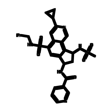 CC(C)CNS(=O)(=O)c1cc2c(c3cnc(C4CC4)cc13)C(NS(C)(=O)=O)CC2NC(=O)c1cccnc1